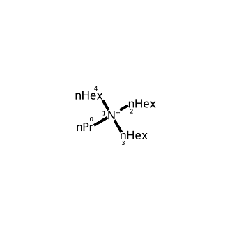 [CH2]CC[N+](CCCCCC)(CCCCCC)CCCCCC